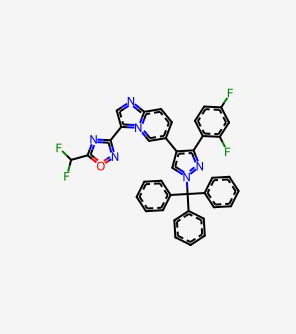 Fc1ccc(-c2nn(C(c3ccccc3)(c3ccccc3)c3ccccc3)cc2-c2ccc3ncc(-c4noc(C(F)F)n4)n3c2)c(F)c1